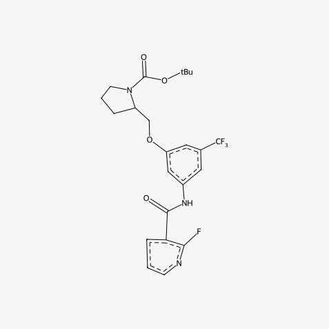 CC(C)(C)OC(=O)N1CCCC1COc1cc(NC(=O)c2cccnc2F)cc(C(F)(F)F)c1